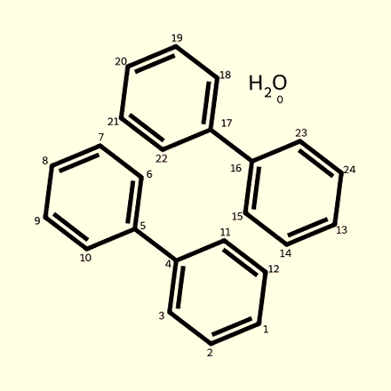 O.c1ccc(-c2ccccc2)cc1.c1ccc(-c2ccccc2)cc1